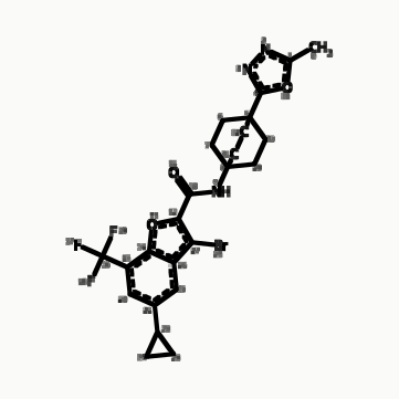 Cc1nnc(C23CCC(NC(=O)c4oc5c(C(F)(F)F)cc(C6CC6)cc5c4Br)(CC2)CC3)o1